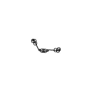 c1cc(COCOCOCc2ccc(CCCCCCCCOCCOC3CCCCO3)cc2)ccc1CCCCCCCCOCCOC1CCCCO1